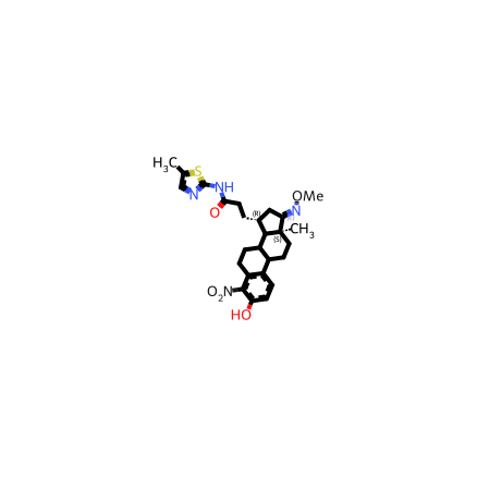 CO/N=C1\C[C@@H](CCC(=O)Nc2ncc(C)s2)C2C3CCc4c(ccc(O)c4[N+](=O)[O-])C3CC[C@]12C